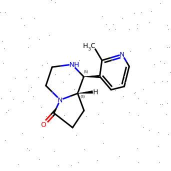 Cc1ncccc1[C@@H]1NCCN2C(=O)CC[C@@H]12